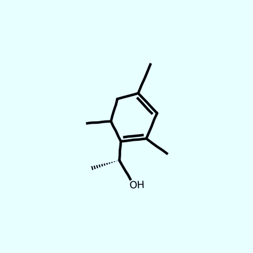 CC1=CC(C)=C([C@@H](C)O)C(C)C1